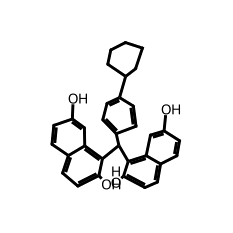 Oc1ccc2ccc(O)c(C(c3ccc(C4CCCCC4)cc3)c3c(O)ccc4ccc(O)cc34)c2c1